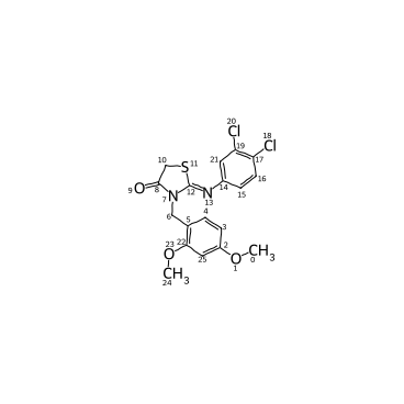 COc1ccc(CN2C(=O)CSC2=Nc2ccc(Cl)c(Cl)c2)c(OC)c1